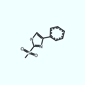 CS(=O)(=O)C1=NC(c2ccccc2)=C[N]1